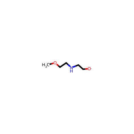 COCCNCC[O]